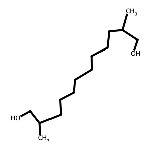 CC(CO)CCCCCCCCC(C)CO